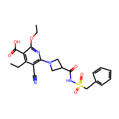 CCOc1nc(N2CC(C(=O)NS(=O)(=O)Cc3ccccc3)C2)c(C#N)c(CC)c1C(=O)O